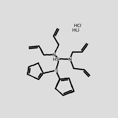 C=CCN(CC=C)[SiH](N(CC=C)CC=C)[Ti]([C]1=CC=CC1)[C]1=CC=CC1.Cl.Cl